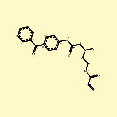 C=CC(=O)NCCN(C)CC(=O)Oc1ccc(C(=O)c2ccccc2)cc1